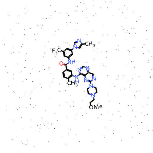 COCCN1CCN(c2ncc3ncnc(Nc4cc(C(=O)Nc5cc(-n6cnc(C)c6)cc(C(F)(F)F)c5)ccc4C)c3n2)CC1